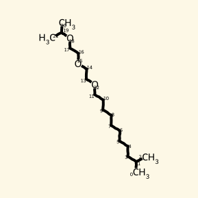 CC(C)CCCCCCCCCOCCOCCOC(C)C